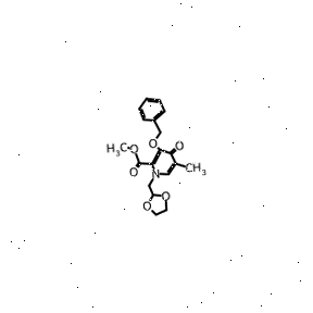 COC(=O)c1c(OCc2ccccc2)c(=O)c(C)cn1CC1OCCO1